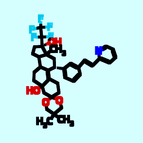 CC1(C)COC2(CCC3=C4C(CCC3(O)C2)C2CC[C@@](O)(C(F)(F)C(F)(F)F)C2(C)C[C@@H]4c2cccc(/C=C/c3ccccn3)c2)OC1